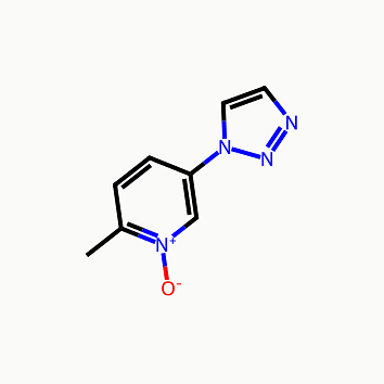 Cc1ccc(-n2ccnn2)c[n+]1[O-]